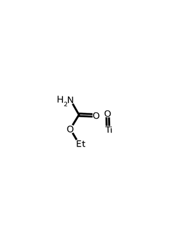 CCOC(N)=O.[O]=[Ti]